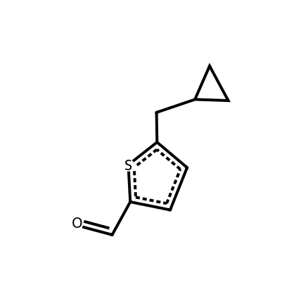 O=Cc1ccc(CC2CC2)s1